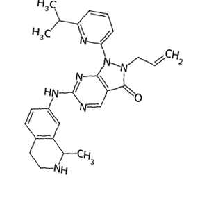 C=CCn1c(=O)c2cnc(Nc3ccc4c(c3)C(C)NCC4)nc2n1-c1cccc(C(C)C)n1